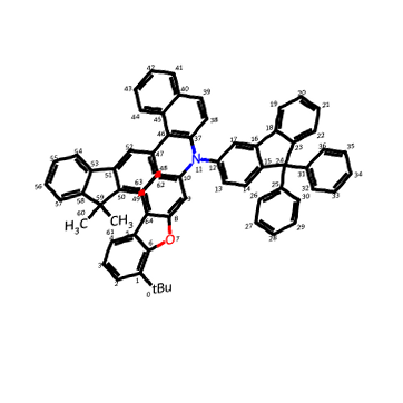 CC(C)(C)c1cccc2c1oc1cc(N(c3ccc4c(c3)-c3ccccc3C4(c3ccccc3)c3ccccc3)c3ccc4ccccc4c3-c3ccc4c(c3)-c3ccccc3C4(C)C)ccc12